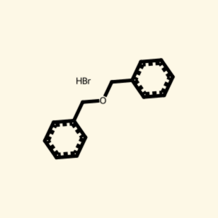 Br.c1ccc(COCc2ccccc2)cc1